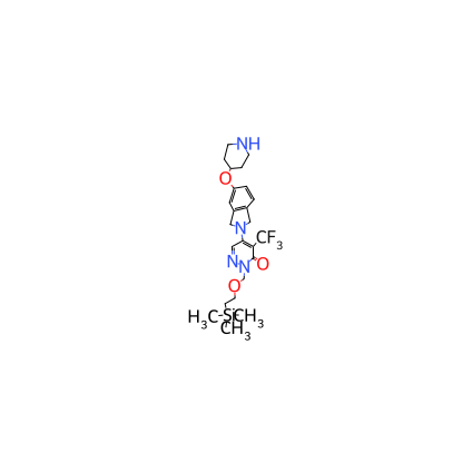 C[Si](C)(C)CCOCn1ncc(N2Cc3ccc(OC4CCNCC4)cc3C2)c(C(F)(F)F)c1=O